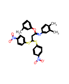 Cc1cccc(OC(CC(Sc2ccc([N+](=O)[O-])cc2)Sc2ccc([N+](=O)[O-])cc2)=Nc2ccc(C)c(C)c2)c1